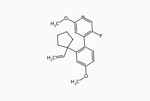 C=CC1(c2cc(OC)ccc2-c2cc(OC)ncc2F)CCCC1